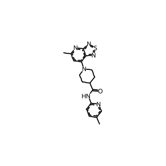 Cc1ccc(NC(=O)C2CCN(c3cc(C)nc4nsnc34)CC2)nc1